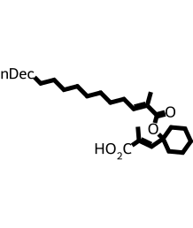 CCCCCCCCCCCCCCCCCCC=C(C)C(=O)OC1(C=C(C)C(=O)O)CCCCC1